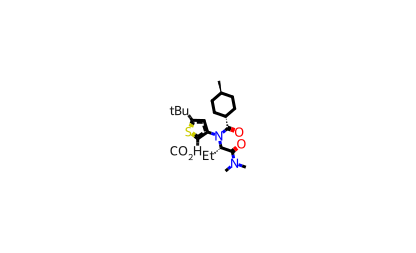 CC[C@@H](C(=O)N(C)C)N(c1cc(C(C)(C)C)sc1C(=O)O)C(=O)[C@H]1CC[C@H](C)CC1